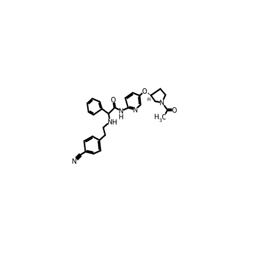 CC(=O)N1CC[C@@H](Oc2ccc(NC(=O)C(NCCc3ccc(C#N)cc3)c3ccccc3)nc2)C1